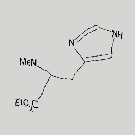 CCOC(=O)C(Cc1c[nH]cn1)NC